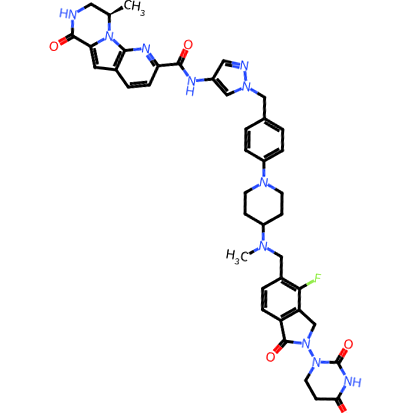 C[C@@H]1CNC(=O)c2cc3ccc(C(=O)Nc4cnn(Cc5ccc(N6CCC(N(C)Cc7ccc8c(c7F)CN(N7CCC(=O)NC7=O)C8=O)CC6)cc5)c4)nc3n21